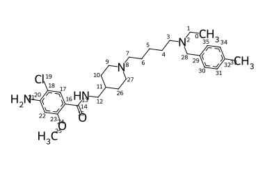 CCN(CCCCCN1CCC(CNC(=O)c2cc(Cl)c(N)cc2OC)CC1)Cc1ccc(C)cc1